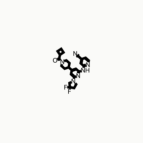 N#Cc1ccnc(Nc2cc(C3CCN(C(=O)C4CCC4)CC3)cc(N3CCC(F)(F)C3)n2)c1